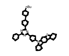 CCCCc1ccc(-c2ccc(-c3nc(-c4ccccc4)nc(-c4ccc(-n5c6ccccc6c6cc7c(cc65)sc5ccccc57)cc4)n3)cc2)cc1